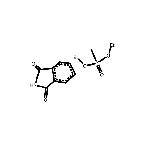 CCOP(C)(=O)OCC.O=C1NC(=O)c2ccccc21